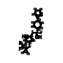 C[C@@](O)(Cc1nc(CC2(C(F)(F)F)CC2)c[nH]1)c1ccc(-n2cccn2)cc1